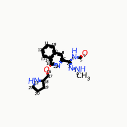 CN/N=C(\NC=O)c1cc2ccccc2c(OCC2CCCN2)n1